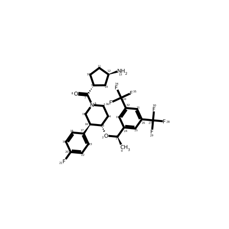 C[C@@H](O[C@H]1CCN(C(=O)[C@@H]2CC[C@@H](N)C2)C[C@@H]1c1ccc(F)cc1)c1cc(C(F)(F)F)cc(C(F)(F)F)c1